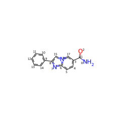 NC(=O)c1ccc2nc(-c3ccccc3)cn2c1